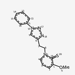 COc1cccn(CCc2cn(-c3ccccc3)nn2)c1=S